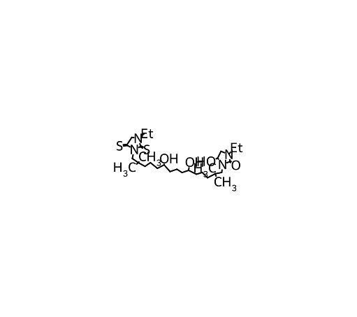 CCN1CC(O)N(CC(C)(C)CCCC(O)CCCC(O)CCCC(C)(C)CN2C(=S)CN(CC)C2=S)C1=O